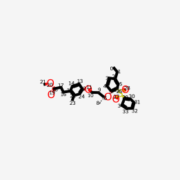 CCc1ccc(O[C@H](C)CCOc2ccc(CCC(=O)OC)c(C)c2)c(S(=O)(=O)c2ccccc2)c1